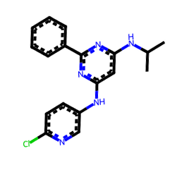 CC(C)Nc1cc(Nc2ccc(Cl)nc2)nc(-c2ccccc2)n1